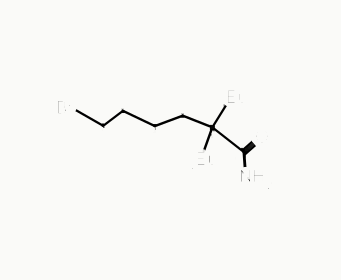 CCC(CC)(CCCCBr)C(N)=O